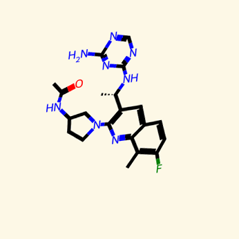 CC(=O)NC1CCN(c2nc3c(C)c(F)ccc3cc2[C@H](C)Nc2ncnc(N)n2)C1